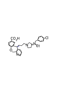 CCN(Cc1ccc(Cl)cc1)[C@@H]1CCN(CC/C=C2/c3cc(C(=O)O)ccc3OCc3ncccc32)C1